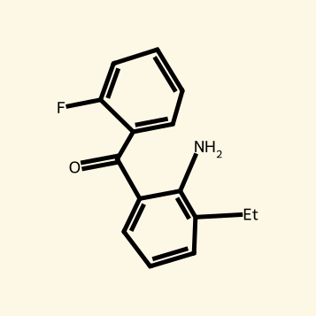 CCc1cccc(C(=O)c2ccccc2F)c1N